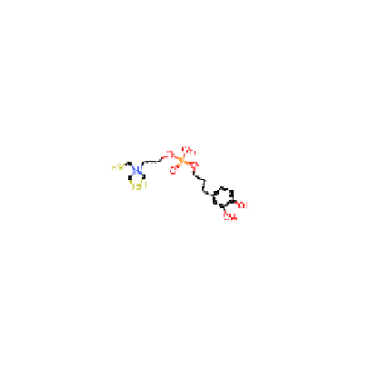 O=P(O)(OCCCc1ccc(O)c(O)c1)OCC[N+](CS)(CS)CS